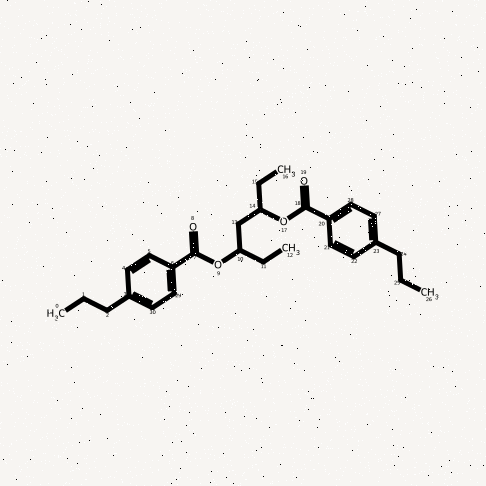 CCCc1ccc(C(=O)OC(CC)CC(CC)OC(=O)c2ccc(CCC)cc2)cc1